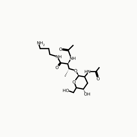 CC(=O)NC1C[C@H](O)C(CO)O[C@H]1O[C@H](C)[C@H](NC(C)=O)C(=O)NCCCN